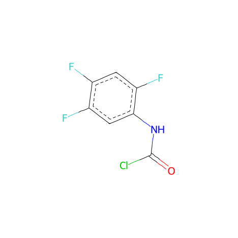 O=C(Cl)Nc1cc(F)c(F)cc1F